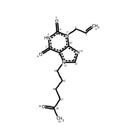 C=CCn1c(=O)[nH]c(=O)c2c1ncn2CCCCC(C)=O